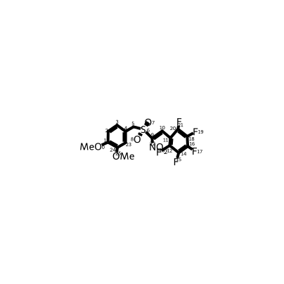 COc1ccc(CS(=O)(=O)/C(=C/c2c(F)c(F)c(F)c(F)c2F)[N+](=O)[O-])cc1OC